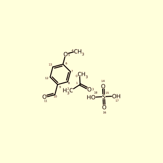 CC(C)=O.COc1ccc(C=O)cc1.O=S(=O)(O)O